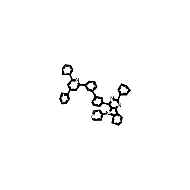 c1ccc(-c2cc(-c3ccccc3)nc(-c3cccc(-c4cccc(-c5nc(-c6ccccc6)nc6c7ccccc7n(-c7ccccc7)c56)c4)c3)c2)cc1